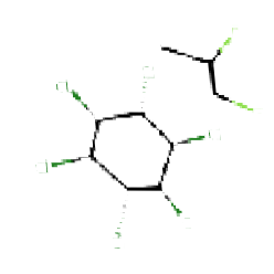 CC(F)CF.Cl[C@H]1[C@H](Cl)[C@@H](Cl)[C@@H](Cl)[C@H](Cl)[C@H]1Cl